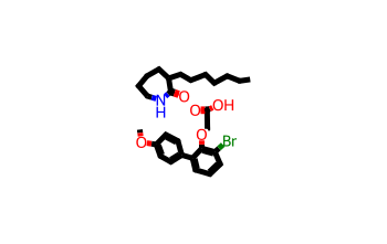 CCCCCCCC1CCCCNC1=O.COc1ccc(-c2cccc(Br)c2OCC(=O)O)cc1